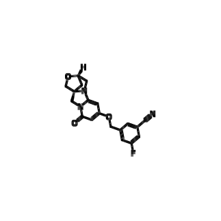 N#Cc1cc(F)cc(COc2cc3n(c(=O)c2)C[C@]24CO[C@H](CN32)C4)c1